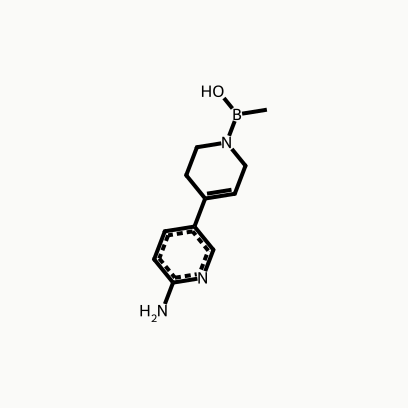 CB(O)N1CC=C(c2ccc(N)nc2)CC1